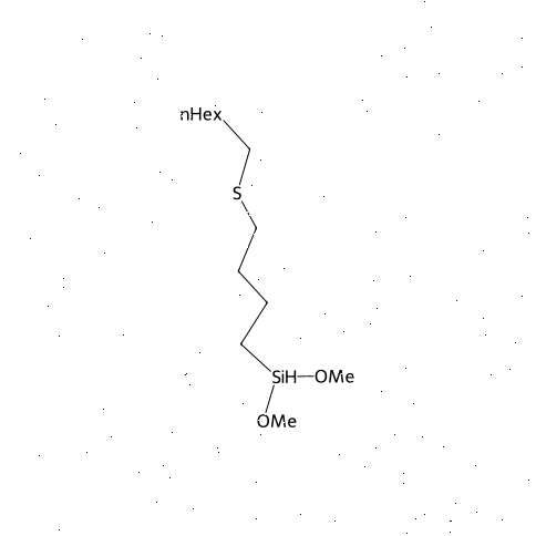 CCCCCCCSCCCC[SiH](OC)OC